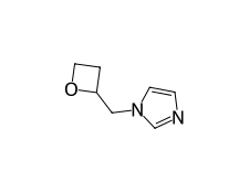 c1cn(CC2CCO2)cn1